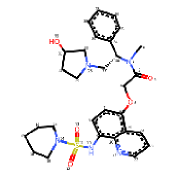 CN(C(=O)COc1ccc(NS(=O)(=O)N2CCCCC2)c2ncccc12)[C@H](CN1CCC(O)C1)c1ccccc1